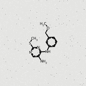 COCc1cccc(Nc2nc(SC)ncc2N)c1